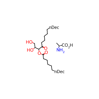 CCCCCCCCCCCCCCCC(=O)OC(C(=O)CCCCCCCCCCCCCCC)C(O)CO.C[C@H](N)C(=O)O